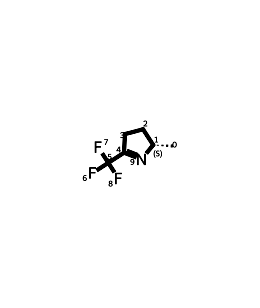 C[C@H]1CCC(C(F)(F)F)=N1